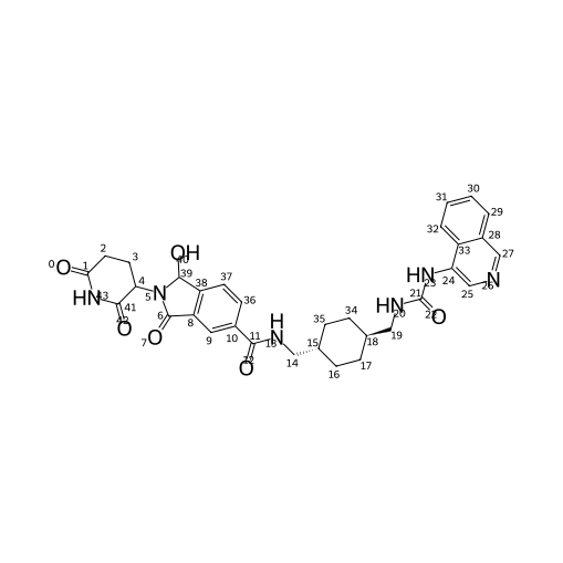 O=C1CCC(N2C(=O)c3cc(C(=O)NC[C@H]4CC[C@H](CNC(=O)Nc5cncc6ccccc56)CC4)ccc3C2O)C(=O)N1